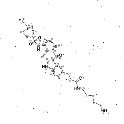 NCCCCCNC(=O)CCc1cnc2[nH]cc(C(=O)c3c(F)ccc(NS(=O)(=O)c4ccc(C(F)(F)F)cc4)c3F)c2c1